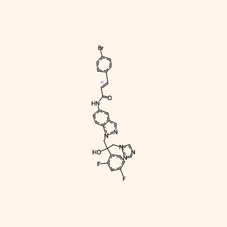 O=C(/C=C/c1ccc(Br)cc1)Nc1ccc2c(cnn2CC(O)(Cn2cncn2)c2ccc(F)cc2F)c1